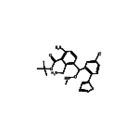 CNOC(c1cc(Cl)ccc1-c1cncs1)c1ccc(N)c(C(=O)OC(C)(C)C)c1CN